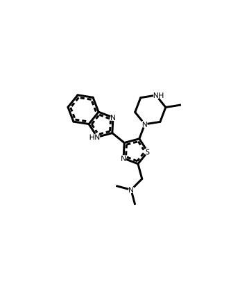 CC1CN(c2sc(CN(C)C)nc2-c2nc3ccccc3[nH]2)CCN1